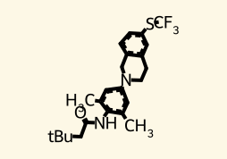 Cc1cc(N2CCc3cc(SC(F)(F)F)ccc3C2)cc(C)c1NC(=O)CC(C)(C)C